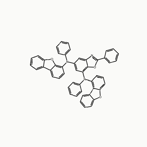 c1ccc(-c2nc3cc(N(c4ccccc4)c4cccc5c4oc4ccccc45)cc(N(c4ccccc4)c4cccc5oc6ccccc6c45)c3o2)cc1